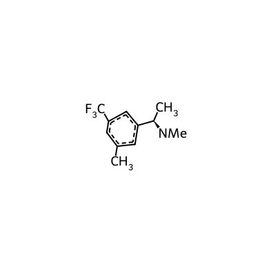 CN[C@H](C)c1cc(C)cc(C(F)(F)F)c1